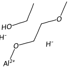 CCO.COCC[O][Al+2].[H-].[H-]